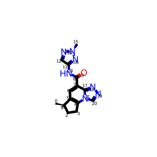 C[C@@H]1CCc2c1cc(C(=O)Nc1cnn(C)n1)c1nncn21